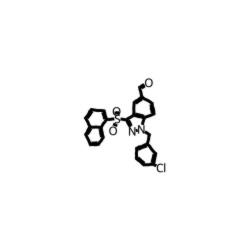 O=Cc1ccc2c(c1)c(S(=O)(=O)c1cccc3ccccc13)nn2Cc1cccc(Cl)c1